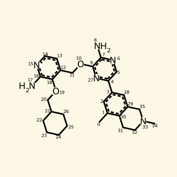 Cc1cc(-c2cnc(N)c(OCc3ccnc(N)c3OCC3CCCCC3)n2)cc2c1CCN(C)C2